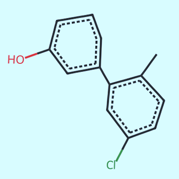 Cc1ccc(Cl)cc1-c1cccc(O)c1